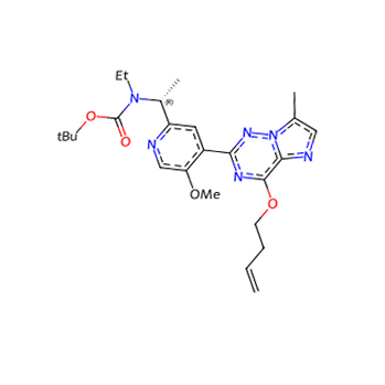 C=CCCOc1nc(-c2cc([C@@H](C)N(CC)C(=O)OC(C)(C)C)ncc2OC)nn2c(C)cnc12